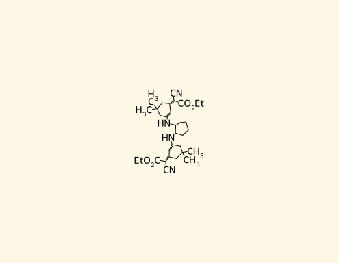 CCOC(=O)/C(C#N)=C1\C=C(NC2CCCCC2NC2=C/C(=C(/C#N)C(=O)OCC)CC(C)(C)C2)CC(C)(C)C1